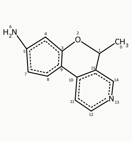 CC1Oc2cc(N)ccc2-c2ccncc21